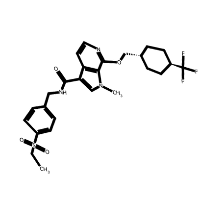 CCS(=O)(=O)c1ccc(CNC(=O)c2cn(C)c3c(OC[C@H]4CC[C@H](C(F)(F)F)CC4)nccc23)cc1